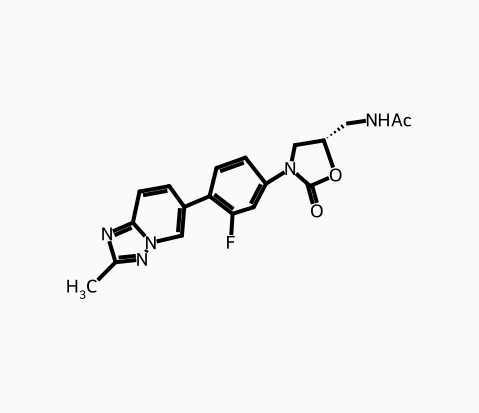 CC(=O)NC[C@H]1CN(c2ccc(-c3ccc4nc(C)nn4c3)c(F)c2)C(=O)O1